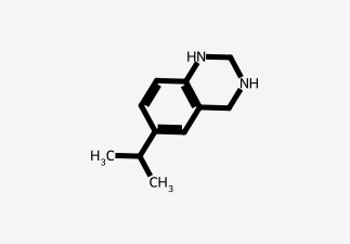 CC(C)c1ccc2c(c1)CNCN2